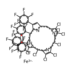 Fc1c(F)c(F)c(C2=Cc3cc4c(Cl)c(Cl)c(c(Cl)c5nc(c(Cl)c6c(Cl)c(-c7c(F)c(F)c(F)c(F)c7F)c(c(-c7c(F)c(F)c(F)c(F)c7F)c2n3)n6-c2c(F)c(F)c(F)c(F)c2F)C(Cl)=C5Cl)n4Cl)c(F)c1F.[Fe+3]